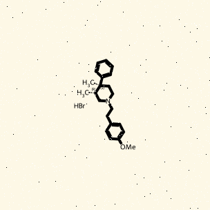 Br.COc1ccc(CCN2CC[C@](C)(c3ccccc3)[C@@H](C)C2)cc1